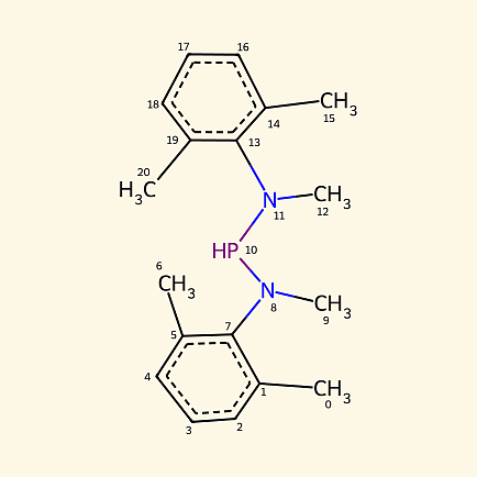 Cc1cccc(C)c1N(C)PN(C)c1c(C)cccc1C